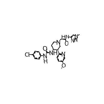 COc1ccc([C@@H]2CN(CC(=O)Nc3cn(C)nn3)CC[C@H]2NC(=O)Nc2ccc(Cl)cc2)nc1